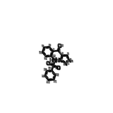 O=C(c1cnn[nH]1)c1ccccc1NS(=O)(=O)c1ccccc1